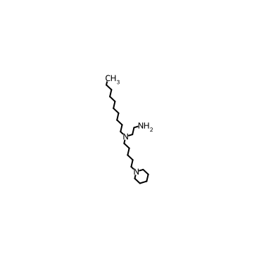 CCCCCCCCCCN(CCN)CCCCCN1CCCCC1